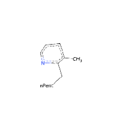 CCCCCCc1ncccc1C